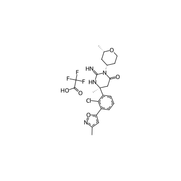 Cc1cc(-c2cccc([C@]3(C)CC(=O)N([C@H]4CCO[C@@H](C)C4)C(=N)N3)c2Cl)on1.O=C(O)C(F)(F)F